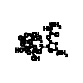 B[C@H]1CC(OC(=O)NN)[C@@H](COP(=O)(O)OP(=O)(O)OP(=O)(OC)OC)O1